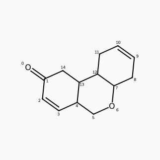 O=C1C=CC2COC3CC=CCC3C2C1